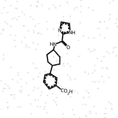 O=C(O)c1cccc(C2CCC(NC(=O)c3ncc[nH]3)CC2)c1